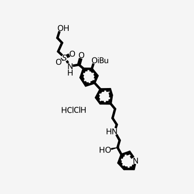 CC(C)COc1cc(-c2ccc(CCCNC[C@H](O)c3cccnc3)cc2)ccc1C(=O)NS(=O)(=O)CCCO.Cl.Cl